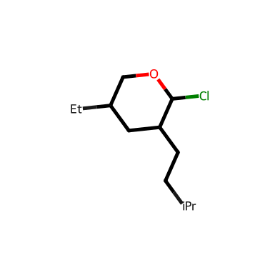 CCC1COC(Cl)C(CCC(C)C)C1